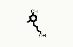 Cc1cc(O)ccc1CCCCO